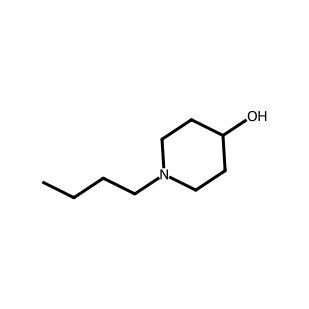 CCCCN1CCC(O)CC1